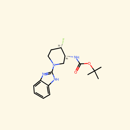 CC(C)(C)OC(=O)N[C@@H]1CN(c2nc3ccccc3[nH]2)CC[C@@H]1F